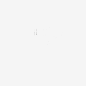 CCCC1CCNC(OC(=O)c2ccccc2C(C)=O)C1